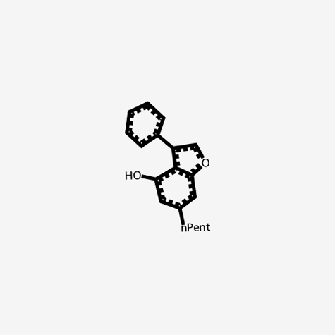 CCCCCc1cc(O)c2c(-c3ccccc3)coc2c1